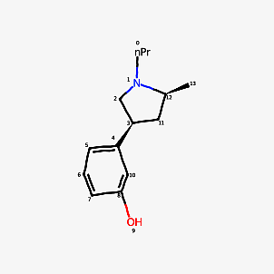 CCCN1C[C@H](c2cccc(O)c2)C[C@@H]1C